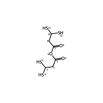 O=C(CC(S)S)OC(=O)CC(S)S